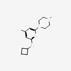 CC(=O)N1CCN(c2cc(C(C)(C)C)cc(NC3CCC3)n2)CC1